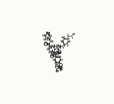 CCCc1ccc(CNC(=O)[C@H]2CN(C(=O)Cn3ccnc3)CCN2S(=O)(=O)c2ccc(OC(F)(F)F)cc2)cc1